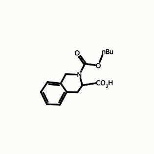 CCCCOC(=O)N1Cc2ccccc2CC1C(=O)O